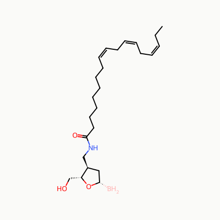 B[C@H]1C[C@H](CNC(=O)CCCCCCC/C=C\C/C=C\C/C=C\CC)[C@@H](CO)O1